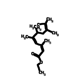 CCOC(=O)C=C(C)C=C(C)C(C)CC(C)=C(C)C